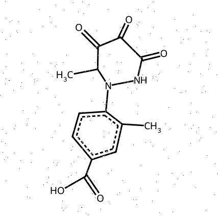 Cc1cc(C(=O)O)ccc1N1NC(=O)C(=O)C(=O)C1C